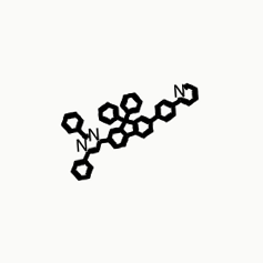 c1ccc(-c2cc(-c3ccc4c(c3)C(c3ccccc3)(c3ccccc3)c3cc(-c5ccc(-c6ccccn6)cc5)ccc3-4)nc(-c3ccccc3)n2)cc1